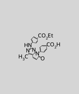 CCOC(=O)c1ccc(Nc2nc(C)c3ccc(=O)n(-c4ccc(C(=O)O)cc4)c3n2)cc1